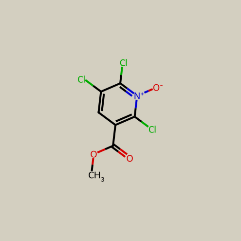 COC(=O)c1cc(Cl)c(Cl)[n+]([O-])c1Cl